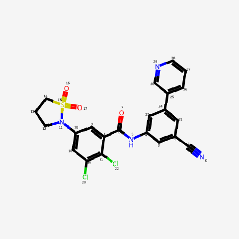 N#Cc1cc(NC(=O)c2cc(N3CCCS3(=O)=O)cc(Cl)c2Cl)cc(-c2cccnc2)c1